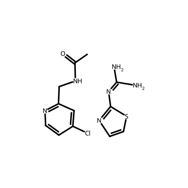 CC(=O)NCc1cc(Cl)ccn1.NC(N)=Nc1nccs1